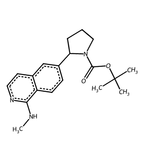 CNc1nccc2cc(C3CCCN3C(=O)OC(C)(C)C)ccc12